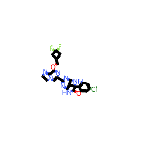 O=C1Nc2nc(-c3cn4ccnc4c(OCC4CC(F)(F)C4)n3)nc3c2C1(c1ccc(Cl)cc1)N3